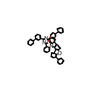 c1ccc(-c2ccc(-c3nc(-c4cccc(-c5ccccc5)c4)nc(-c4ccccc4-n4c5ccccc5c5ccc6oc7c(-c8ccccc8)cccc7c6c54)n3)cc2)cc1